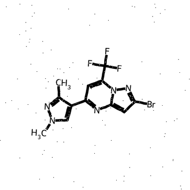 Cc1nn(C)cc1-c1cc(C(F)(F)F)n2nc(Br)cc2n1